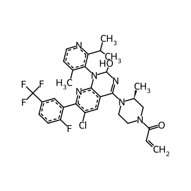 C=CC(=O)N1CCN(C2=NC(O)N(c3c(C)ccnc3C(C)C)c3nc(-c4cc(C(F)(F)F)ccc4F)c(Cl)cc32)[C@@H](C)C1